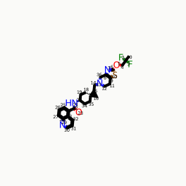 CC(F)(F)COc1nc2c(s1)CCN(CC1=C[C@]13CC[C@H](NC(=O)c1cccc4ncccc14)CC3)C2